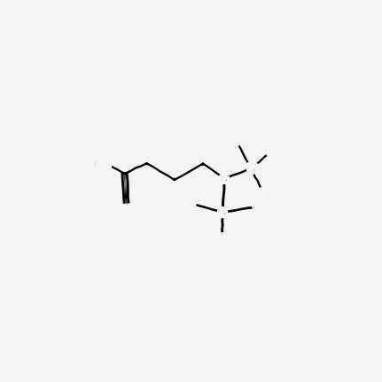 C[Si](C)(C)N(CCCC(O)=S)[Si](C)(C)C